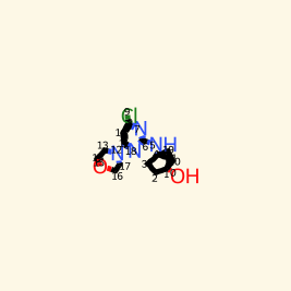 OC12CCC(Nc3nc(Cl)cc(N4CCOCC4)n3)(CC1)C2